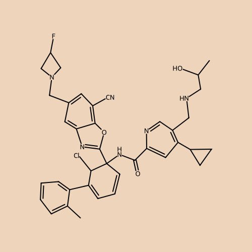 Cc1ccccc1C1=CC=CC(NC(=O)c2cc(C3CC3)c(CNCC(C)O)cn2)(c2nc3cc(CN4CC(F)C4)cc(C#N)c3o2)C1Cl